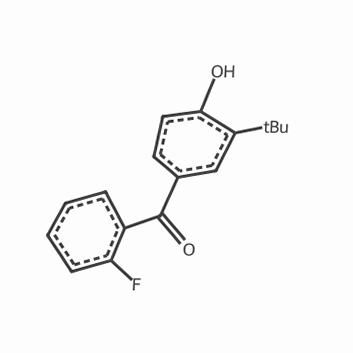 CC(C)(C)c1cc(C(=O)c2ccccc2F)ccc1O